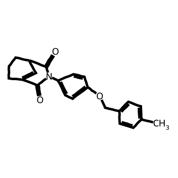 Cc1ccc(COc2ccc(N3C(=O)C4=CC(CCC4)C3=O)cc2)cc1